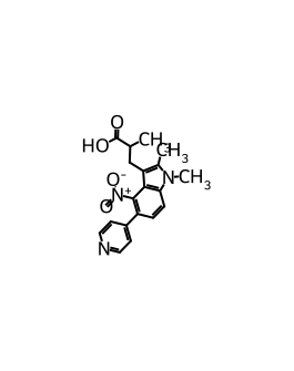 Cc1c(CC(C)C(=O)O)c2c([N+](=O)[O-])c(-c3ccncc3)ccc2n1C